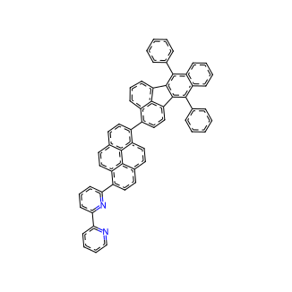 c1ccc(-c2c3c(c(-c4ccccc4)c4ccccc24)-c2ccc(-c4ccc5ccc6c(-c7cccc(-c8ccccn8)n7)ccc7ccc4c5c76)c4cccc-3c24)cc1